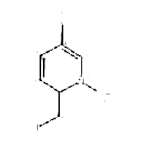 CC1=CN(O)C(CCl)C=C1